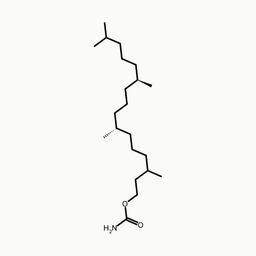 CC(C)CCC[C@@H](C)CCC[C@@H](C)CCCC(C)CCOC(N)=O